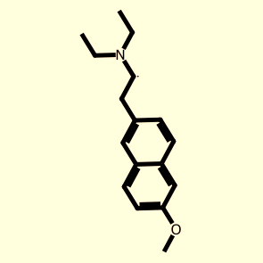 CCN([CH]Cc1ccc2cc(OC)ccc2c1)CC